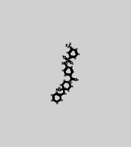 O=C(c1ccc(NS(=O)(=O)c2cccc(C(F)(F)F)c2)cc1)N1CCC(O)(CC2=CC=CCC2)CC1